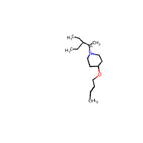 CCCCOC1CCN([C@H](C)C(CC)CC)CC1